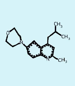 Cc1cc(CC(C)C)c2cc(N3CCOCC3)ccc2n1